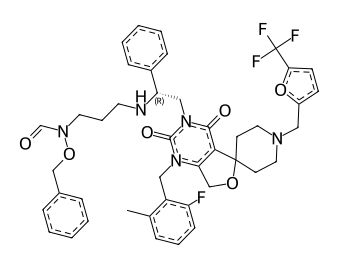 Cc1cccc(F)c1Cn1c2c(c(=O)n(C[C@H](NCCCN(C=O)OCc3ccccc3)c3ccccc3)c1=O)C1(CCN(Cc3ccc(C(F)(F)F)o3)CC1)OC2